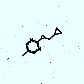 Cc1cnc(OCC2CC2)nc1